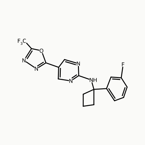 Fc1cccc(C2(Nc3ncc(-c4nnc(C(F)(F)F)o4)cn3)CCC2)c1